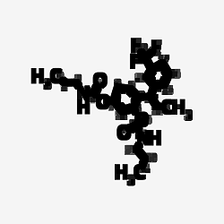 CCCNC(=O)Oc1ccc([C](CC)c2cccc(C(F)(F)F)c2)c(OC(=O)NCCC)c1